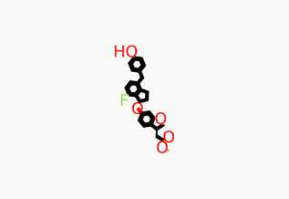 COC(=O)C[C@@H]1COc2cc(O[C@@H]3CCc4c(Cc5ccc(O)cc5)ccc(F)c43)ccc21